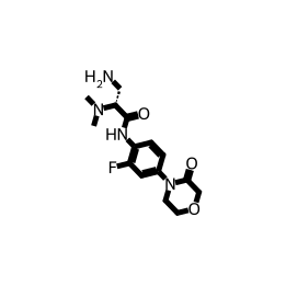 CN(C)[C@H](CN)C(=O)Nc1ccc(N2CCOCC2=O)cc1F